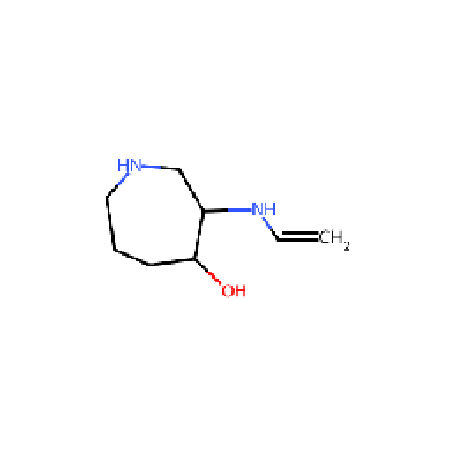 C=CNC1CNCCCC1O